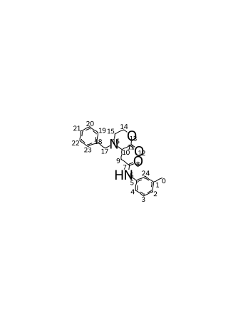 Cc1cccc(NC(=O)CC2C(=O)OCCN2Cc2ccccc2)c1